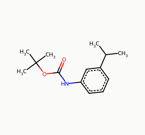 CC(C)c1cccc(NC(=O)OC(C)(C)C)c1